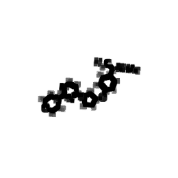 CC(=O)N[C@@H](C)c1ccc(O[C@@H]2CCN(c3ccnc(N4CCOCC4)n3)C2)cc1